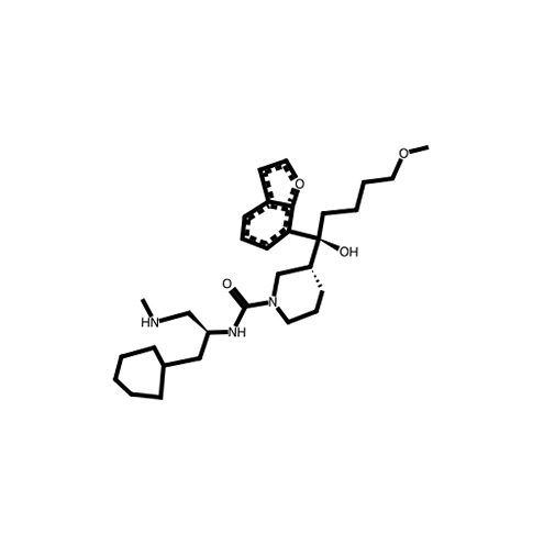 CNC[C@H](CC1CCCCC1)NC(=O)N1CCC[C@@H]([C@@](O)(CCCCOC)c2cccc3ccoc23)C1